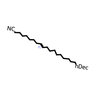 CCCCCCCCCCCCCCCCCCC/C=C/CCCCCCCC#N